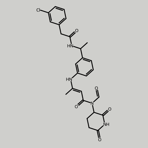 C/C(=C\C(=O)N(C=O)C1CCC(=O)NC1=O)Nc1cccc(C(C)NC(=O)Cc2cccc(Cl)c2)c1